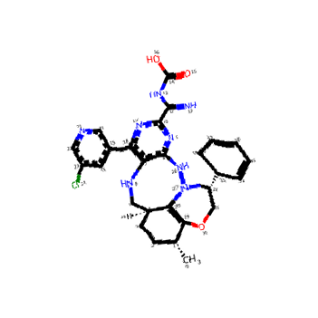 C[C@@H]1CC[C@H]2CNc3c(nc(C(=N)NC(=O)O)nc3-c3cncc(Cl)c3)NN3C2=C1OC[C@H]3C1C=CC=CC1